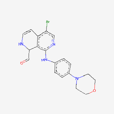 O=CC1NC=Cc2c(Br)cnc(Nc3ccc(N4CCOCC4)cc3)c21